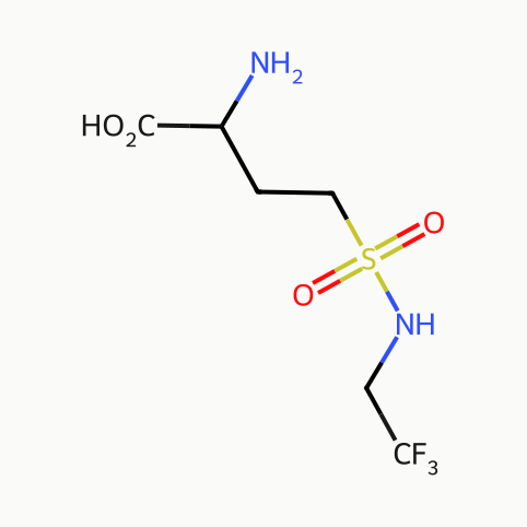 NC(CCS(=O)(=O)NCC(F)(F)F)C(=O)O